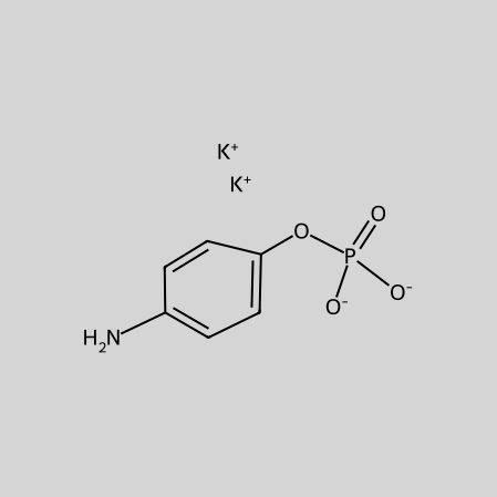 Nc1ccc(OP(=O)([O-])[O-])cc1.[K+].[K+]